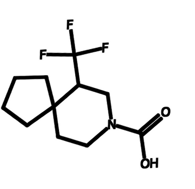 O=C(O)N1CCC2(CCCC2)C(C(F)(F)F)C1